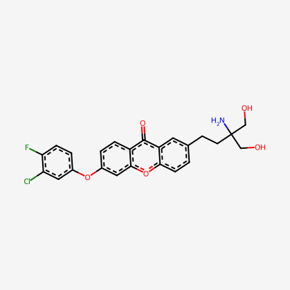 NC(CO)(CO)CCc1ccc2oc3cc(Oc4ccc(F)c(Cl)c4)ccc3c(=O)c2c1